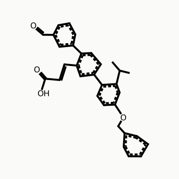 CC(C)c1cc(OCc2ccccc2)ccc1-c1ccc(-c2cccc(C=O)c2)c(/C=C/C(=O)O)c1